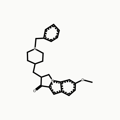 COc1ccc2cc3n(c2c1)CC(CC1CCN(Cc2ccccc2)CC1)C3=O